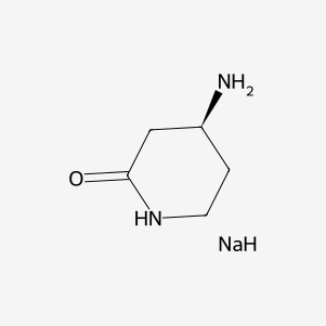 N[C@H]1CCNC(=O)C1.[NaH]